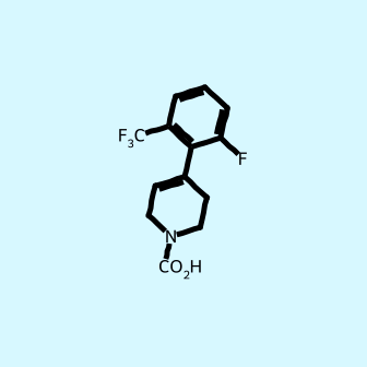 O=C(O)N1CC=C(c2c(F)cccc2C(F)(F)F)CC1